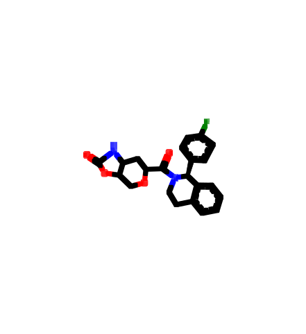 O=C1NC2CC(C(=O)N3CCc4ccccc4[C@@H]3c3ccc(F)cc3)OCC2O1